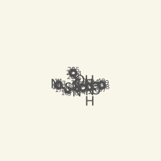 O=c1[nH]c2cc3nc(-c4ccc(-c5ccncc5)s4)n(CC(O)c4ccccc4)c3cc2nc1Cc1ccccc1